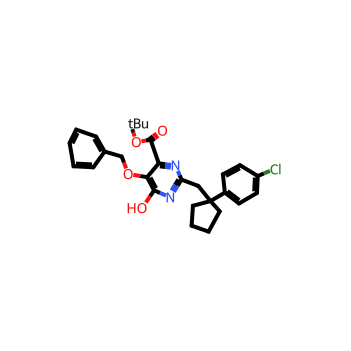 CC(C)(C)OC(=O)c1nc(CC2(c3ccc(Cl)cc3)CCCC2)nc(O)c1OCc1ccccc1